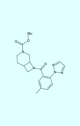 Cc1ccc(-n2nccn2)c(C(=O)N2CC3CCN(C(=O)OC(C)(C)C)CC32)c1